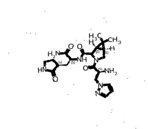 CC1(C)[C@@H]2C(C(=O)N[C@@H](C[C@@H]3CCNC3=O)C(N)=O)N(C(=O)[C@@H](N)Cn3cccn3)C[C@@H]21